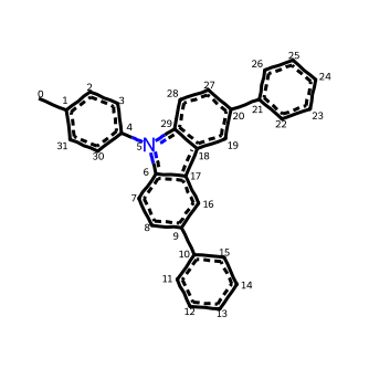 Cc1ccc(-n2c3ccc(-c4ccccc4)cc3c3cc(-c4ccccc4)ccc32)cc1